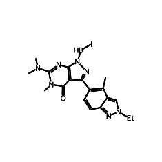 CCn1cc2c(C)c(-c3nn(BI)c4nc(N(C)C)n(C)c(=O)c34)ccc2n1